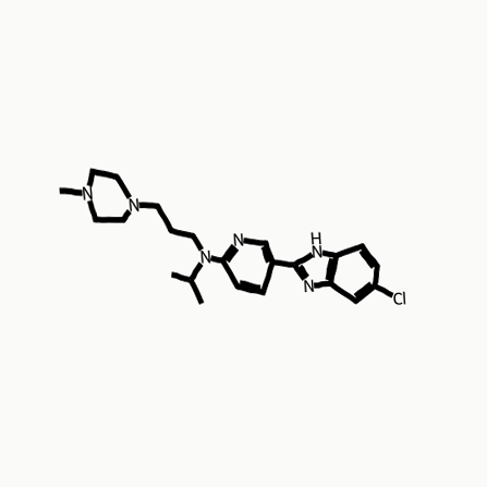 CC(C)N(CCCN1CCN(C)CC1)c1ccc(-c2nc3cc(Cl)ccc3[nH]2)cn1